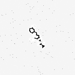 C=Cc1nc(NC(=O)C2CC2)sc1C=CCC1=C(C)C=CCC(C#N)=C1